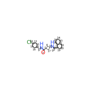 C[C@@H](NC1CC(C(=O)NCc2ccc(Cl)cc2)C1)c1cccc2ccccc12